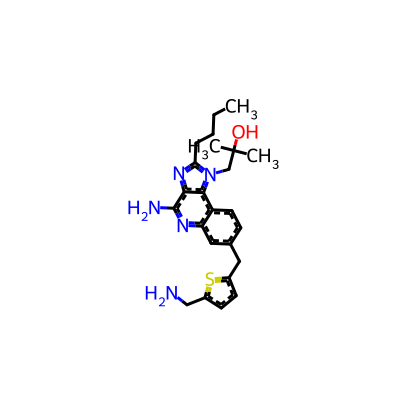 CCCCc1nc2c(N)nc3cc(Cc4ccc(CN)s4)ccc3c2n1CC(C)(C)O